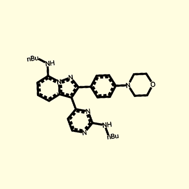 CCCCNc1nccc(-c2c(-c3ccc(N4CCOCC4)cc3)nn3c(NCCCC)cccc23)n1